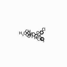 Cc1nc2c(c(=O)n1C(c1ccccc1)c1ccc(Cl)cc1)CCN(C(=O)OC(C)(C)C)C2